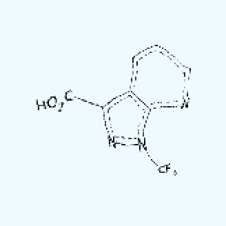 O=C(O)c1nn(C(F)(F)F)c2ncccc12